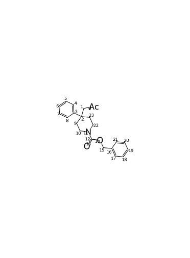 CC(=O)CC1(c2ccccc2)CCN(C(=O)OCc2ccccc2)CC1